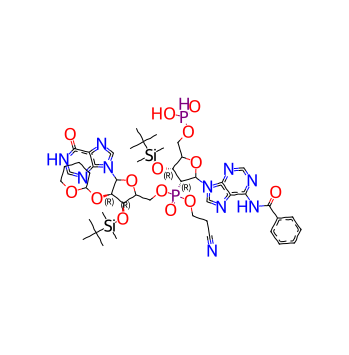 CC(C)(C)[Si](C)(C)O[C@@H]1C(COP(=O)(OCCC#N)[C@H]2C(n3cnc4c(NC(=O)c5ccccc5)ncnc43)OC(CO[PH](=O)O)[C@H]2O[Si](C)(C)C(C)(C)C)OC(n2cnc3c(=O)[nH]cnc32)[C@@H]1OC1CCCCO1